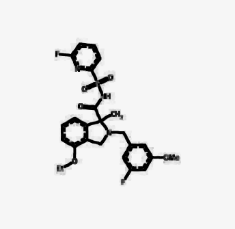 CCOc1cccc2c1CN(Cc1cc(F)cc(OC)c1)C2(C)C(=O)NS(=O)(=O)c1cccc(F)n1